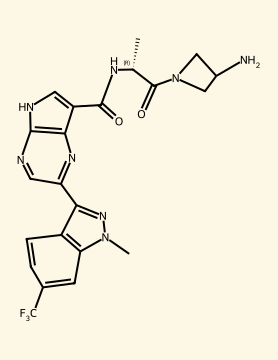 C[C@@H](NC(=O)c1c[nH]c2ncc(-c3nn(C)c4cc(C(F)(F)F)ccc34)nc12)C(=O)N1CC(N)C1